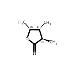 C[C@H]1[C@@H](C)OC(=O)[C@@H]1C